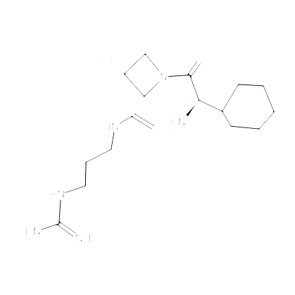 Cl.N=C(N)NCCCNC(=O)[C@@H]1CCN1C(=O)[C@H](N)C1CCCCC1